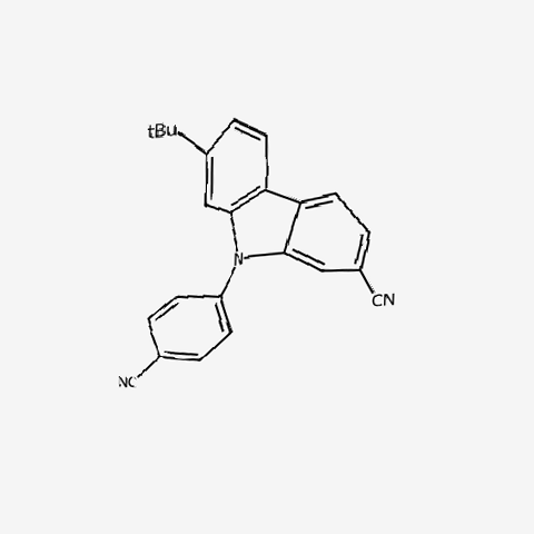 CC(C)(C)c1ccc2c3ccc(C#N)cc3n(-c3ccc(C#N)cc3)c2c1